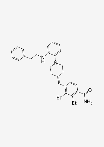 CCc1c(C=C2CCN(c3ccccc3NCCc3ccccc3)CC2)ccc(C(N)=O)c1CC